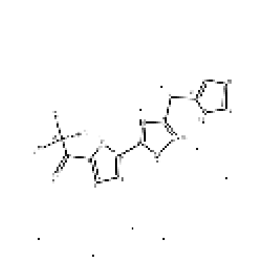 O=C(c1ccc(-c2nc(Cc3cccs3)no2)s1)C(F)(F)F